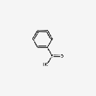 O=S(O)C1=CC=C=C=C1